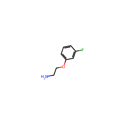 NCCOc1cccc(F)c1